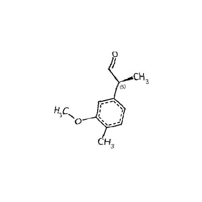 COc1cc([C@H](C)C=O)ccc1C